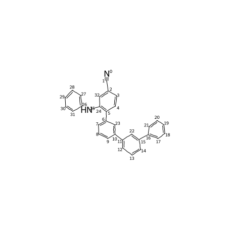 N#Cc1ccc(-c2cccc(-c3cccc(-c4ccccc4)c3)c2)c(Nc2ccccc2)c1